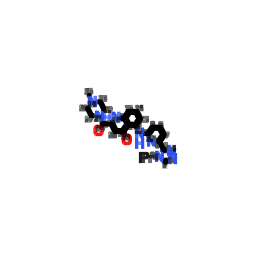 CC(C)n1cnnc1-c1cccc(Nc2cccc3[nH]c(C(=O)N4CCN(C)CC4)cc(=O)c23)n1